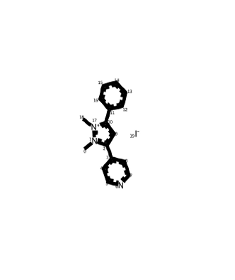 Cn1c(-c2ccncc2)cc(-c2ccccc2)[n+]1C.[I-]